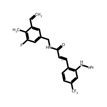 C=Cc1cc(CNC(=O)/C=C/c2ccc(C(F)(F)F)cc2NCCC)cc(F)c1C